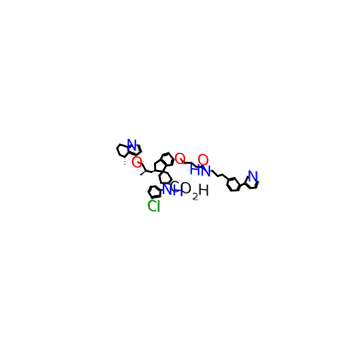 C[C@@H](COc1ccnc2c1[C@H](C)CCC2)C[C@H]1Cc2ccc(OCCCC(=O)NCCCc3cccc(-c4cccnc4)c3)cc2C12CCC(Nc1cccc(Cl)c1)(C(=O)O)CC2